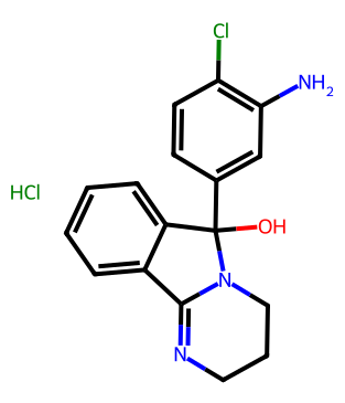 Cl.Nc1cc(C2(O)c3ccccc3C3=NCCCN32)ccc1Cl